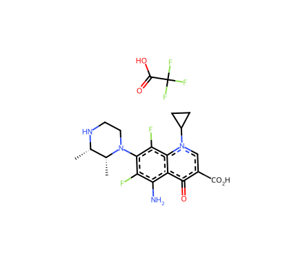 C[C@@H]1NCCN(c2c(F)c(N)c3c(=O)c(C(=O)O)cn(C4CC4)c3c2F)[C@@H]1C.O=C(O)C(F)(F)F